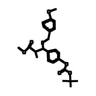 COC(=O)C(C)C(SCc1ccc(OC)cc1)c1ccc(OC(=O)OC(C)(C)C)cc1